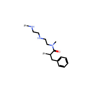 CC(C)NCCNCCN(C)C(=O)C(Cc1ccccc1)C(C)C